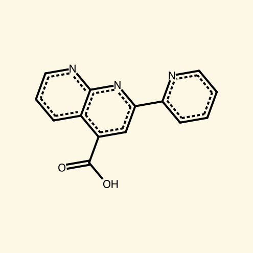 O=C(O)c1cc(-c2ccccn2)nc2ncccc12